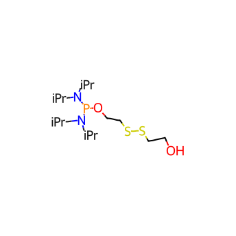 CC(C)N(C(C)C)P(OCCSSCCO)N(C(C)C)C(C)C